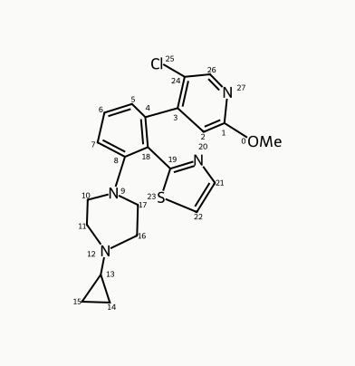 COc1cc(-c2cccc(N3CCN(C4CC4)CC3)c2-c2nccs2)c(Cl)cn1